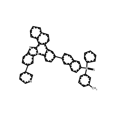 Cc1cccc(P(=S)(c2ccccc2)c2ccc3cc(-c4ccc5c(c4)c4ccc6ccccc6c4c4nc6ccc(-c7cccnc7)cc6n54)ccc3c2)c1